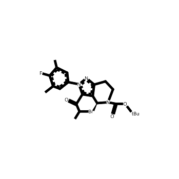 Cc1cc(-n2nc3c(c2C(=O)C(C)Br)[C@H](C)N(C(=O)OC(C)(C)C)CC3)cc(C)c1F